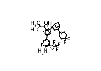 CC(C)C(O)c1nc(-c2cnc(N)c(OC(F)(F)F)c2)cn1[C@@H]1CC(N2CCC(F)(F)CC2)C2CC1C2